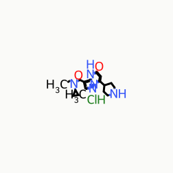 CCN(C(=O)c1c(C)nn2c(C3CCNCC3)cc(=O)[nH]c12)C1CC1.Cl